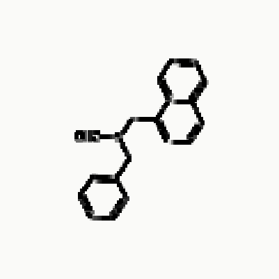 O=[C]N(Cc1ccccc1)Cc1cccc2ccccc12